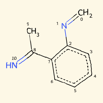 C=Nc1ccccc1C(C)=N